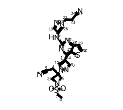 CCS(=O)(=O)N1CC(CC#N)(n2cc(-c3nc(Nc4cnn(CCC#N)c4)nc4ccsc34)cn2)C1